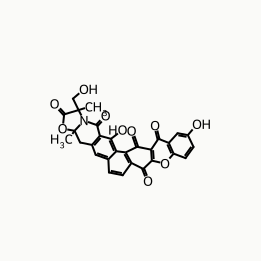 CC12Cc3cc4ccc5c(c4c(O)c3C(=O)N1C(C)(CO)C(=O)O2)C(=O)c1c(oc2ccc(O)cc2c1=O)C5=O